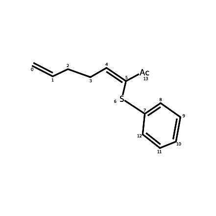 C=CCC/C=C(\Sc1ccccc1)C(C)=O